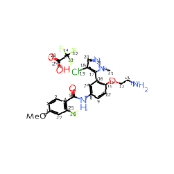 COc1ccc(C(=O)Nc2ccc(OCCN)c(-c3c(Cl)cnn3C)c2)c(F)c1.O=C(O)C(F)(F)F